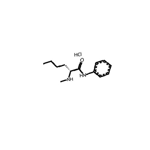 CCCC[C@@H](NC)C(=O)Nc1ccccc1.Cl